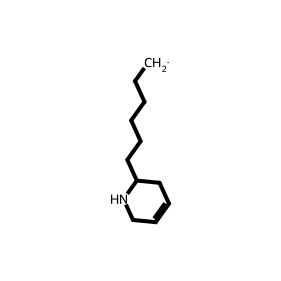 [CH2]CCCCCC1CC=CCN1